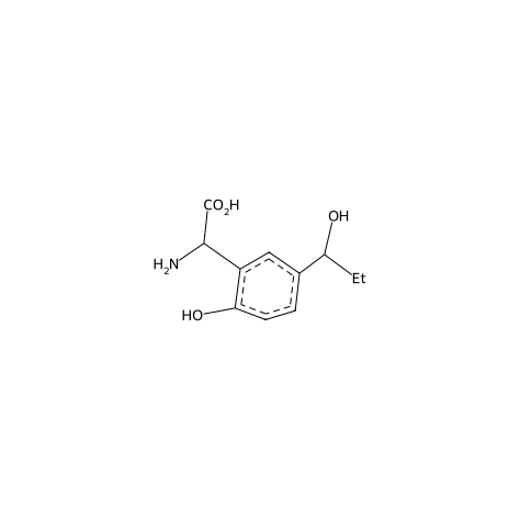 CCC(O)c1ccc(O)c(C(N)C(=O)O)c1